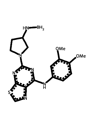 BNC1CCN(c2nc(Nc3ccc(OC)c(OC)c3)c3ncsc3n2)C1